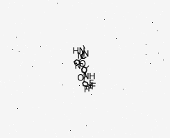 CCNc1nccc(-c2cccnc2Oc2ccc(NC(=O)c3ccc(F)c(C(F)(F)F)c3)cc2C)n1